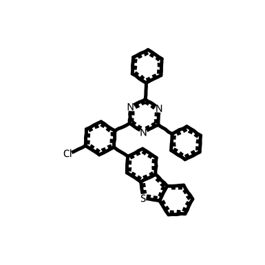 Clc1ccc(-c2nc(-c3ccccc3)nc(-c3ccccc3)n2)c(-c2ccc3c(c2)sc2ccccc23)c1